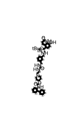 CC(C)(C)[Si](C)(C)O[C@@H](CNCc1cccc(CNC(=O)NCCN2CCC(OC(=O)Nc3ccccc3-c3ccccc3)CC2)c1)c1ccc(O)c2[nH]c(=O)ccc12